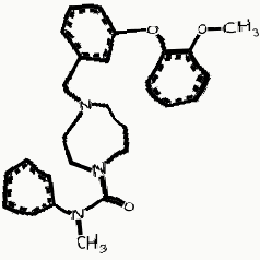 COc1ccccc1Oc1cccc(CN2CCCN(C(=O)N(C)c3ccccc3)CC2)c1